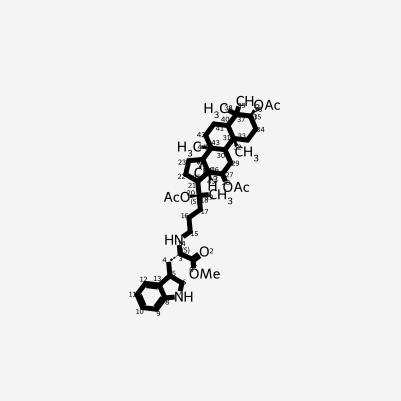 COC(=O)[C@H](CC1CNc2ccccc21)NCCC[C@](C)(OC(C)=O)C1CC[C@]2(C)[C@@H]1C(OC(C)=O)CC1[C@@]3(C)CC[C@H](OC(C)=O)C(C)(C)C3CC[C@]12C